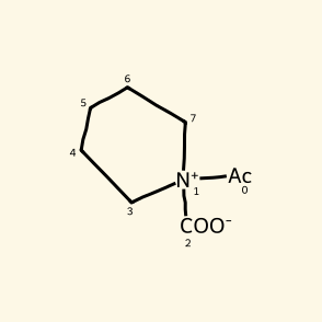 CC(=O)[N+]1(C(=O)[O-])CCCCC1